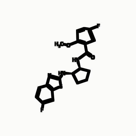 COc1ccc(F)cc1C(=O)N[C@H]1CCC[C@H]1Nc1nc2ccc(F)cc2s1